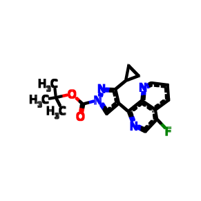 CC(C)(C)OC(=O)n1cc(-c2ncc(F)c3cccnc23)c(C2CC2)n1